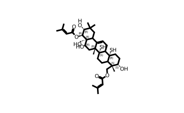 CC(C)=CC(=O)OC[C@]1(C)C2CC[C@]3(S)C(CC=C4C5CC(C)(C)[C@@H](O)[C@H](OC(=O)C=C(C)C)[C@]5(CO)[C@H](O)C[C@]43C)[C@@]2(S)CC[C@@H]1O